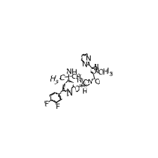 Cn1nc(-c2ncccn2)cc1C(=O)N1C[C@@H]2[C@H](C1)[C@H]2Oc1cc(C(C)(C)N)cc(-c2ccc(F)c(F)c2)n1